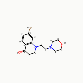 O=C1CCN(CCN2CCOCC2)c2cc(Br)ccc21